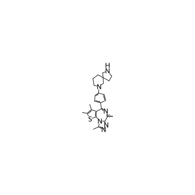 Cc1sc2c(c1C)C(c1ccc(N3CCCC4(CCNC4)C3)cc1)=N[C@@H](C)c1nnc(C)n1-2